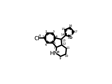 Clc1ccc2c(c1)C1NCCCC1C2c1cccs1